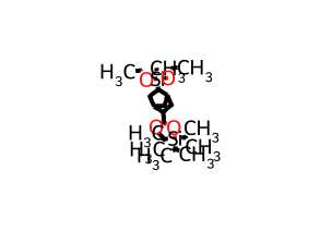 CCO[Si](C)(OCC)C1CC2CC1CC2C(=O)O[Si](C(C)C)(C(C)C)C(C)C